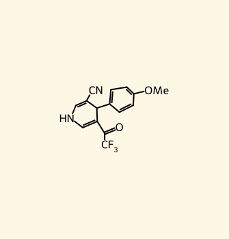 COc1ccc(C2C(C#N)=CNC=C2C(=O)C(F)(F)F)cc1